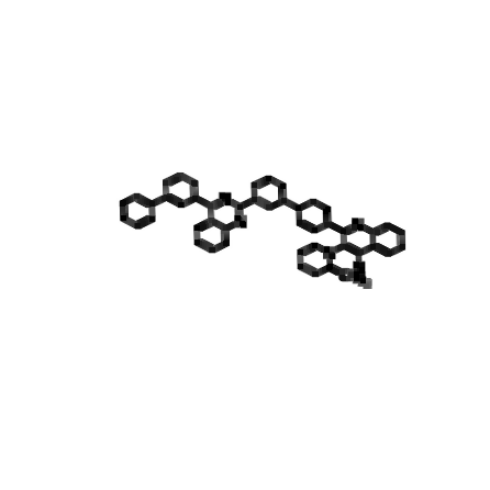 C=C1C=CC=CN1c1c(C2=CCC(c3cccc(-c4nc(-c5cccc(-c6ccccc6)c5)c5ccccc5n4)c3)C=C2)nc2ccccc2c1N